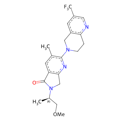 COC[C@@H](C)N1Cc2nc(N3CCc4ncc(C(F)(F)F)cc4C3)c(C)cc2C1=O